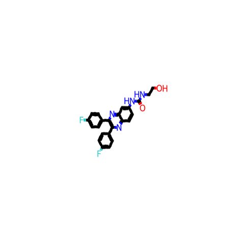 O=C(NCCO)Nc1ccc2nc(-c3ccc(F)cc3)c(-c3ccc(F)cc3)nc2c1